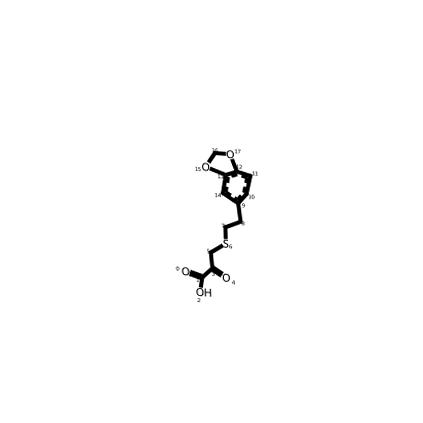 O=C(O)C(=O)CSCCc1ccc2c(c1)OCO2